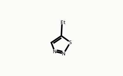 [CH2]Cc1cnns1